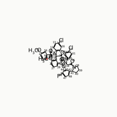 COc1cccc(S(=O)(=O)N(c2ccc(Cl)cc2)C(C(=O)O)c2c(OC)cccc2S(=O)(=O)N(CC(=O)N2CCCC2c2ccc(F)cc2)c2ccc(Cl)cc2)c1